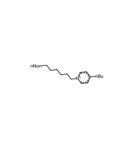 CCCCCCCCCCCCCCC[n+]1ccc(CCCC)cc1